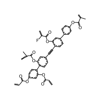 C=CC(=O)Oc1ccc(-c2ccc(C#Cc3ccc(-c4ccc(OC(=O)C(=C)C)cc4)cc3OC(=O)C(=C)F)cc2OC(=O)C(=C)C)c(OC(=O)C=C)c1